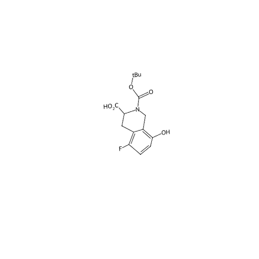 CC(C)(C)OC(=O)N1Cc2c(O)ccc(F)c2CC1C(=O)O